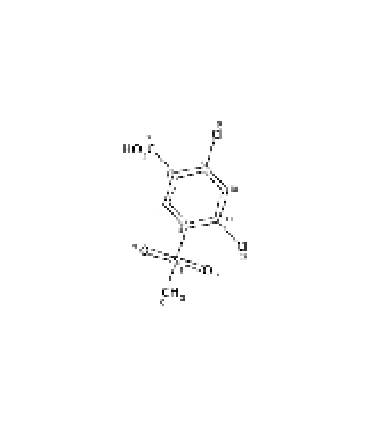 CS(=O)(=O)c1cc(C(=O)O)c(Cl)cc1Cl